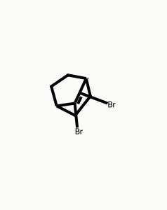 BrC1=C(Br)C2CC[C]1CC2